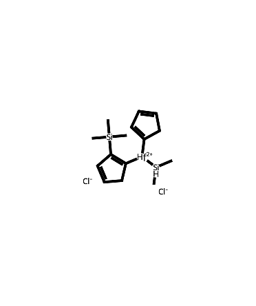 C[SiH](C)[Hf+2]([C]1=CC=CC1)[C]1=C([Si](C)(C)C)C=CC1.[Cl-].[Cl-]